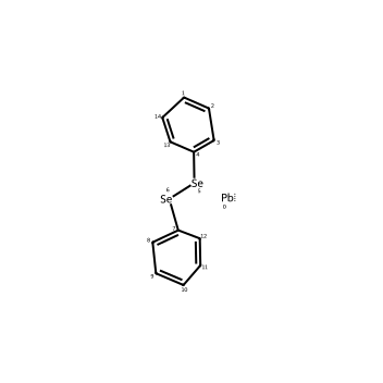 [Pb].c1ccc([Se][Se]c2ccccc2)cc1